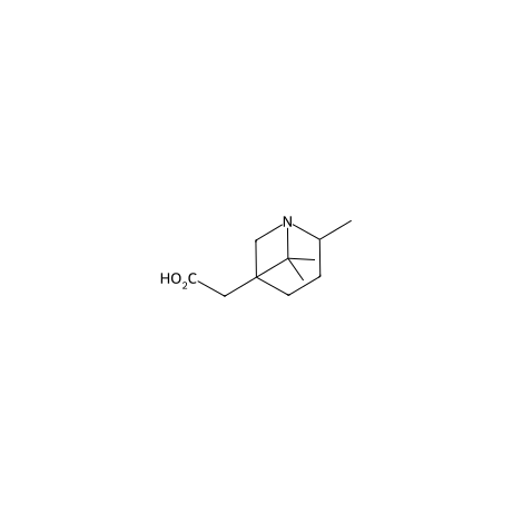 CC1CCC2(CC(=O)O)CN1C2(C)C